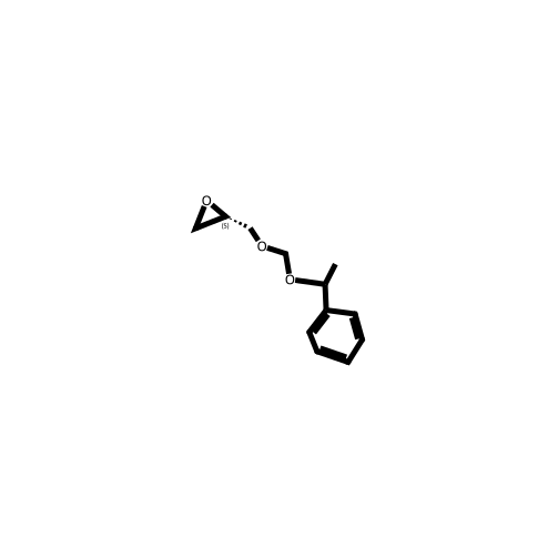 CC(OCOC[C@@H]1CO1)c1ccccc1